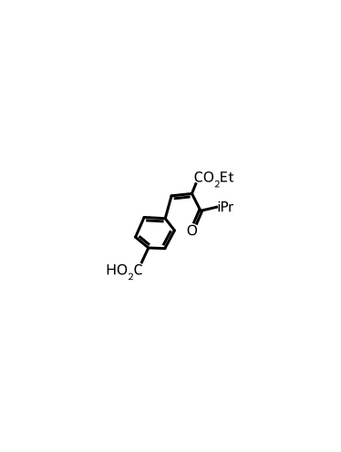 CCOC(=O)/C(=C/c1ccc(C(=O)O)cc1)C(=O)C(C)C